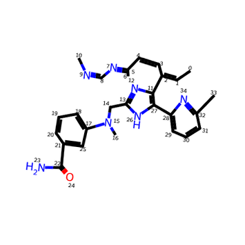 C\C=C(/C=C\C(C)=N\C=N/C)c1nc(CN(C)c2cccc(C(N)=O)c2)[nH]c1-c1cccc(C)n1